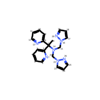 CC(c1ccccn1)(c1ccccn1)N(Cn1cccn1)Cn1cccn1